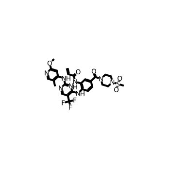 C=CC(=O)Nc1cc(C(=O)N2CCN(S(C)(=O)=O)CC2)ccc1Nc1nc(Nc2cc(OC)ncc2C)ncc1C(F)(F)F